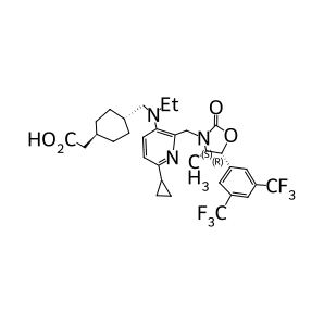 CCN(C[C@H]1CC[C@H](CC(=O)O)CC1)c1ccc(C2CC2)nc1CN1C(=O)O[C@H](c2cc(C(F)(F)F)cc(C(F)(F)F)c2)[C@@H]1C